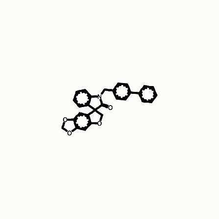 O=C1N(Cc2ccc(-c3ccccc3)cc2)c2ccccc2C12COc1cc3c(cc12)OCO3